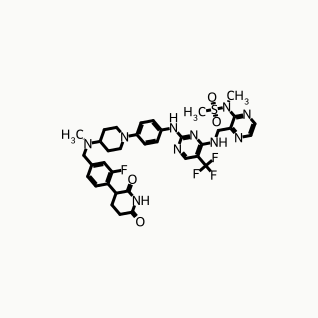 CN(Cc1ccc(C2CCC(=O)NC2=O)c(F)c1)C1CCN(c2ccc(Nc3ncc(C(F)(F)F)c(NCc4nccnc4N(C)S(C)(=O)=O)n3)cc2)CC1